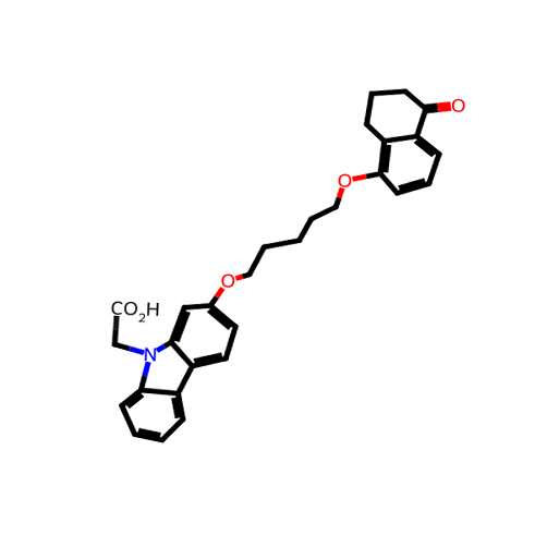 O=C(O)Cn1c2ccccc2c2ccc(OCCCCCOc3cccc4c3CCCC4=O)cc21